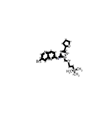 C[Si](C)(C)CCOCn1nc(C2CCCO2)s/c1=N\c1ccc2ncc(Br)cc2n1